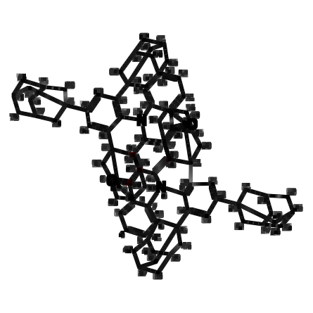 O=c1c2ccccc2n(-c2c(C34CC5CC(CC(C5)C3)C4)cc(C34CC5CC(CC(C5)C3)C4)cc2C23CC4CC(CC(C4)C2)C3)c2cc3c(=O)c4ccccc4n(-c4c(C56CC7CC(CC(C7)C5)C6)cc(C56CC7CC(CC(C7)C5)C6)cc4C45CC6CC(CC(C6)C4)C5)c3cc12